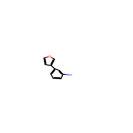 [NH]c1cccc(-c2ccoc2)c1